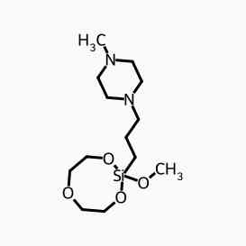 CO[Si]1(CCCN2CCN(C)CC2)OCCOCCO1